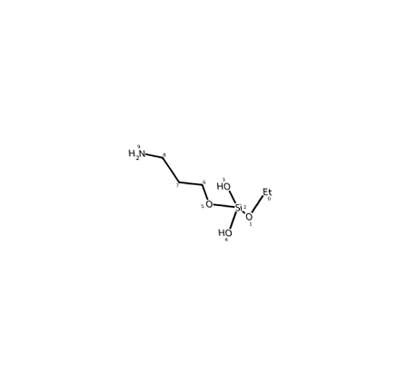 CCO[Si](O)(O)OCCCN